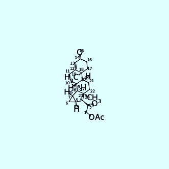 CC(=O)OCC(=O)[C@H]1[C@@H]2C[C@@H]2[C@H]2[C@@H]3CCC4=CC(=O)CC[C@]4(C)[C@H]3CC[C@@]21C